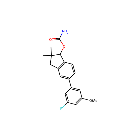 COc1cc(F)cc(-c2ccc3c(c2)CC(C)(C)C3OC(N)=O)c1